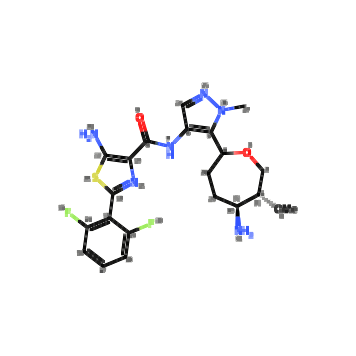 CO[C@H]1COC(c2c(NC(=O)c3nc(-c4c(F)cccc4F)sc3N)cnn2C)CC[C@@H]1N